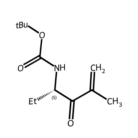 C=C(C)C(=O)[C@H](CC)NC(=O)OC(C)(C)C